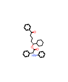 O=C(CCC[C@H](OC(=O)[C@H](Nc1ccccc1)c1ccccc1)C1CCCCC1)c1ccccc1